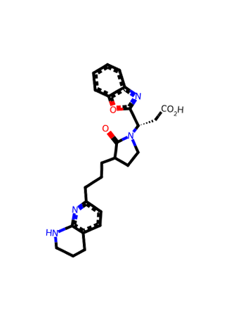 O=C(O)C[C@@H](c1nc2ccccc2o1)N1CCC(CCCc2ccc3c(n2)NCCC3)C1=O